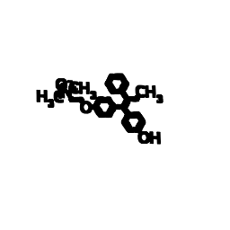 CC/C(=C(\c1ccc(O)cc1)c1ccc(OCC[N+](C)(C)[O-])cc1)c1ccccc1